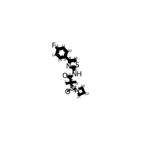 CC(C)(C(=O)Nc1nc(-c2ccc(F)cc2)cs1)[S@+]([O-])N1CCC1